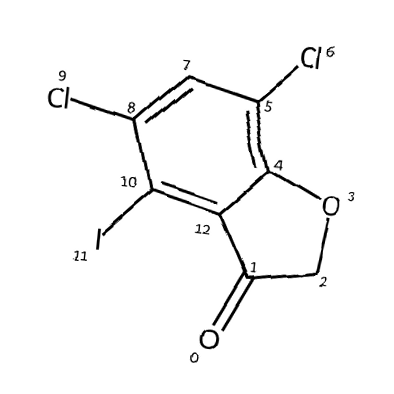 O=C1COc2c(Cl)cc(Cl)c(I)c21